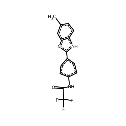 Cc1ccc2[nH]c(-c3ccc(NC(=O)C(F)(F)F)cc3)nc2c1